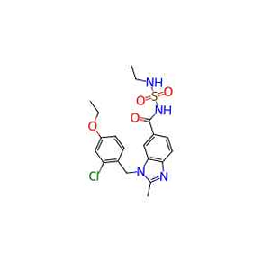 CCNS(=O)(=O)NC(=O)c1ccc2nc(C)n(Cc3ccc(OCC)cc3Cl)c2c1